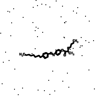 CCCCCCCCc1ccc(/N=N/c2ccc(OC(=O)C(C)OCCCC)cc2)cc1